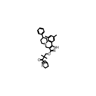 Cc1cc(C)cc(-c2[nH]nc(OCC(C)(C)C(=O)C3C4CCN3CC4)c2CN2CCC(c3ccccc3)CC2)c1